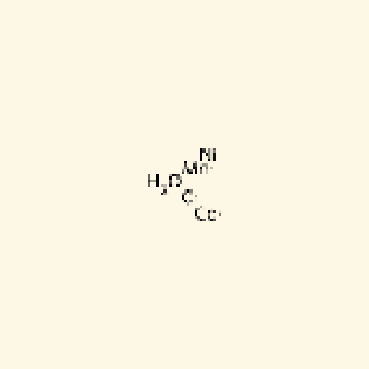 O.[Co].[Cr].[Mn].[Ni]